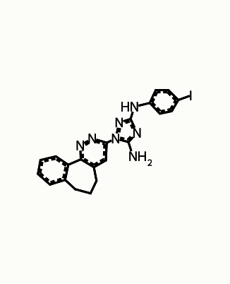 Nc1nc(Nc2ccc(I)cc2)nn1-c1cc2c(nn1)-c1ccccc1CCC2